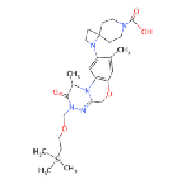 Cc1cc2c(cc1N1CCC13CCN(C(=O)O)CC3)N1C(=NN(COCC[Si](C)(C)C)C(=O)C1C)CO2